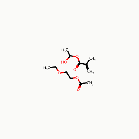 C=C(C)C(=O)OC(C)O.CCOCCOC(C)=O